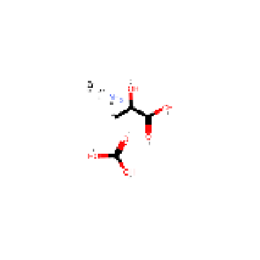 CC(O)C(=O)O.N.O=C(O)O.[Zr].[Zr]